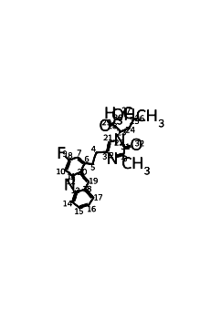 Cc1nc(CCc2cc(F)cc3nc4ccccc4cc23)cn(C(CC(C)C)C(=O)O)c1=O